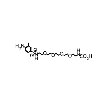 Cc1cc(S(=O)(=O)NCCOCCOCCOCCOCCNC(=O)O)ccc1N